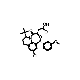 COc1cccc([C@H]2O[C@H](CC(=O)O)C(=O)N3c4c(cc(Cl)cc42)CC[C@H]3C(C)(C)C)c1